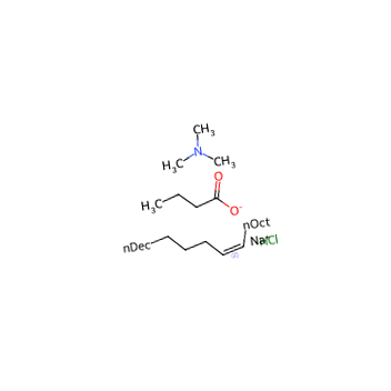 CCCC(=O)[O-].CCCCCCCC/C=C\CCCCCCCCCCCCC.CN(C)C.Cl.[Na+]